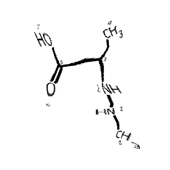 CNNC(C)C(=O)O